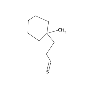 CC1(CCC=S)CCCCC1